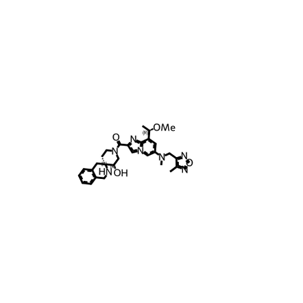 CO[C@H](C)c1cc(N(C)Cc2nonc2C)cn2cc(C(=O)N3CC[C@]4(Cc5ccccc5CN4)[C@H](O)C3)nc12